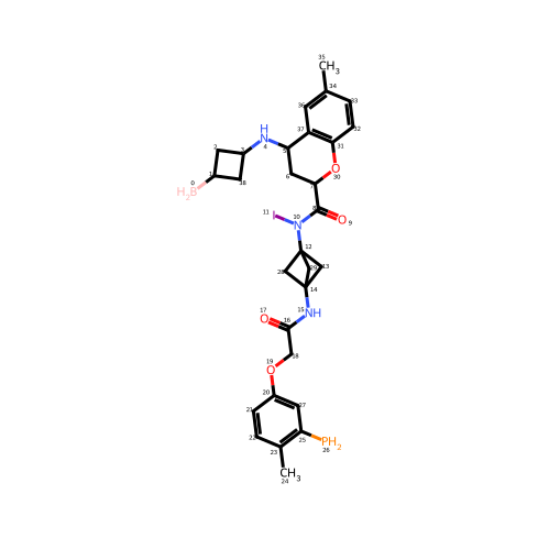 BC1CC(NC2CC(C(=O)N(I)C34CC(NC(=O)COc5ccc(C)c(P)c5)(C3)C4)Oc3ccc(C)cc32)C1